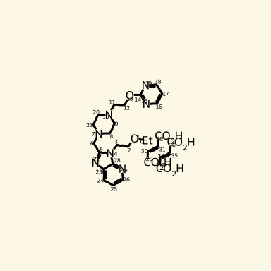 CCOCCn1c(CN2CCN(CCOc3ncccn3)CC2)nc2cccnc21.O=C(O)C=CC(=O)O.O=C(O)C=CC(=O)O